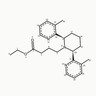 CCOC(=O)CCCN1[C@@H](c2ncccc2C)CCC[C@H]1c1ncccc1C